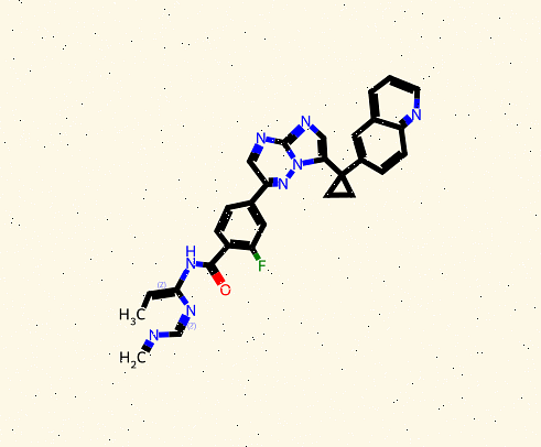 C=N/C=N\C(=C/C)NC(=O)c1ccc(-c2cnc3ncc(C4(c5ccc6ncccc6c5)CC4)n3n2)cc1F